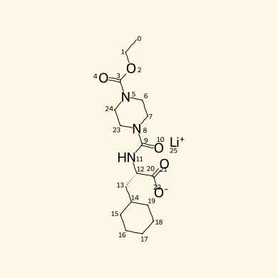 CCOC(=O)N1CCN(C(=O)N[C@@H](CC2CCCCC2)C(=O)[O-])CC1.[Li+]